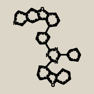 c1ccc(-c2nc(-c3cccc(-c4cccc5oc6cc7ccncc7cc6c45)c3)nc(-c3cccc4oc5ccccc5c34)n2)cc1